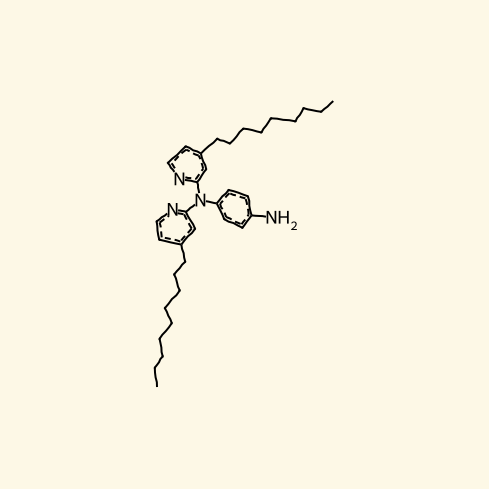 CCCCCCCCCc1ccnc(N(c2ccc(N)cc2)c2cc(CCCCCCCCC)ccn2)c1